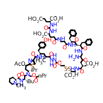 CCCC(=O)OCN(C(=O)[C@@H](NC(=O)[C@H]1CCCCN1C)C(C)CC)[C@H](C[C@@H](OC(C)=O)c1nc(C(=O)N[C@@H](Cc2ccc(O)cc2)C[C@H](C)C(=O)NNC(=O)OCCSSC[C@@H](NC(=O)[C@H](CC(=O)O)CC(=O)[C@@H](N)CNC(=O)[C@@H](CC(=O)[C@H](Cc2ccccc2)NC(=O)CCNC(=O)CC[C@H](NC(=O)N[C@@H](CCC(=O)O)C(=O)O)C(=O)O)Cc2ccccc2)C(=O)O)cs1)C(C)C